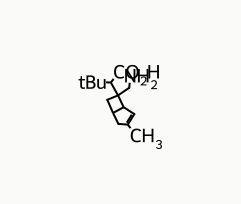 CC1=CC2C(C1)CC2(CN)C(C(=O)O)C(C)(C)C